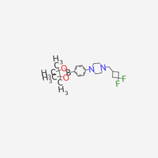 CC1(C)OB(c2ccc(N3CCN(CC4CC(F)(F)C4)CC3)cc2)OC1(C)C